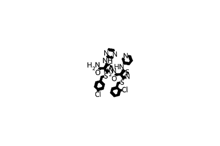 NC(=O)c1c(SCc2ccc(Cl)cc2)nsc1Nc1cnccn1.NC(=O)c1c(SCc2ccccc2Cl)nsc1Nc1cccnc1